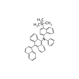 C[Si](C)(C)c1ccc(N(c2ccccc2)c2c3ccccc3c(-c3cccc4ccccc34)c3ccccc23)c2ccccc12